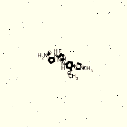 COC=C1CC(Nc2ncc(F)c(N[C@@H]3CCC[C@@H]3C(N)=O)n2)=CC=C1N1CCN(C)CC1